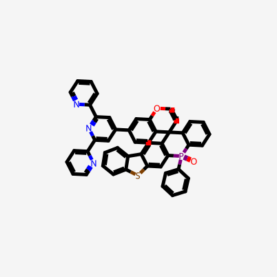 O=P1(c2ccccc2)c2ccccc2C2(c3ccccc3Oc3cc(-c4cc(-c5ccccn5)nc(-c5ccccn5)c4)ccc32)c2cc3c(cc21)sc1ccccc13